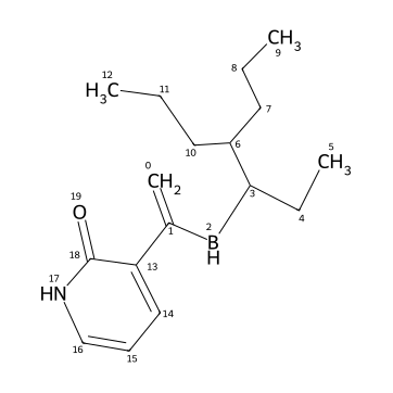 C=C(BC(CC)C(CCC)CCC)c1ccc[nH]c1=O